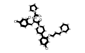 O=C(N[C@H](Cc1ccc(Cl)cc1Cl)C(=O)N1CCC(c2ccc(Cl)cc2OCCCN2CCCCC2)CC1)N1CCCC1